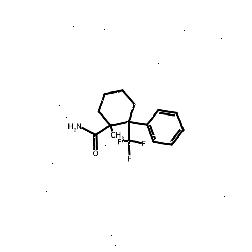 CC1(C(N)=O)CCCCC1(c1ccccc1)C(F)(F)F